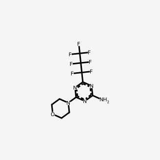 Nc1nc(N2CCOCC2)nc(C(F)(F)C(F)(F)C(F)(F)F)n1